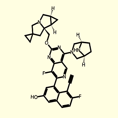 C#Cc1c(F)ccc2cc(O)cc(-c3ncc4c(N5C[C@H]6CC[C@@H](C5)N6)nc(OC[C@@]56CC7(CC7)CN5C[C@H]5C[C@H]56)nc4c3F)c12